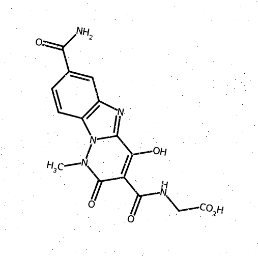 Cn1c(=O)c(C(=O)NCC(=O)O)c(O)c2nc3cc(C(N)=O)ccc3n21